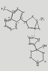 OC1(c2nnc([C@]34CN(c5ccc(C(F)(F)F)c6ncccc56)C[C@@]3(C(F)(F)F)C4)o2)CCNCC1